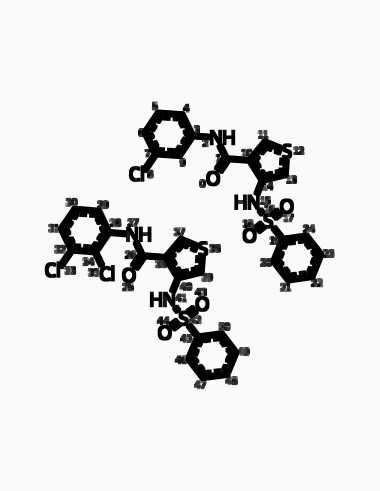 O=C(Nc1cccc(Cl)c1)c1cscc1NS(=O)(=O)c1ccccc1.O=C(Nc1cccc(Cl)c1Cl)c1cscc1NS(=O)(=O)c1ccccc1